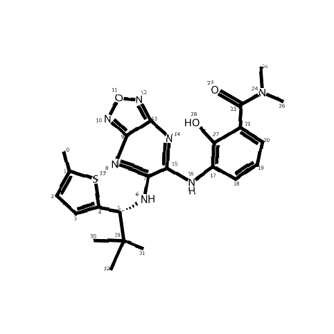 Cc1ccc([C@H](Nc2nc3nonc3nc2Nc2cccc(C(=O)N(C)C)c2O)C(C)(C)C)s1